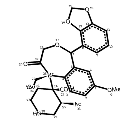 COc1ccc2c(c1)C(c1cccc3c1OCO3)OCC(=O)[N@@+]2(CC(C)(C)C)[C@@]1(C(=O)O)CCNC[C@@H]1C(C)=O